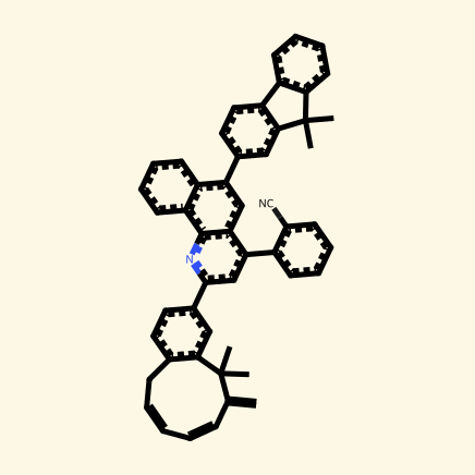 C=C1/C=C\C=C/Cc2ccc(-c3cc(-c4ccccc4C#N)c4cc(-c5ccc6c(c5)C(C)(C)c5ccccc5-6)c5ccccc5c4n3)cc2C1(C)C